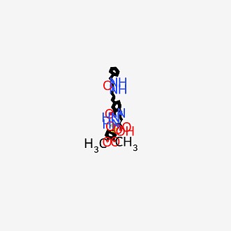 COc1ccc(S(=O)(=O)N[C@@H](Cc2nc3ccc(C=CCNC(=O)NCc4ccccc4)cc3c(=O)[nH]2)C(=O)O)cc1OC